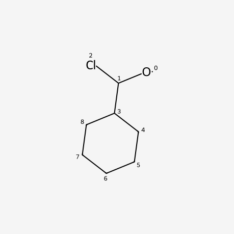 [O]C(Cl)C1CCCCC1